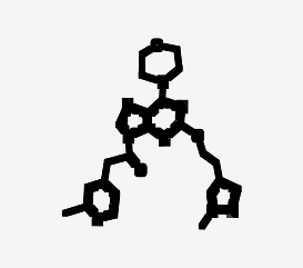 Cc1cc(CC(=O)n2cnc3c(N4CCOCC4)nc(OCCc4cnn(C)c4)nc32)ccn1